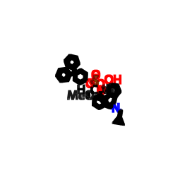 COC12CCC3(CC1C(C)(OS(=O)OC1CCC(c4ccccc4)(c4ccccc4)CC1)C(C)(C)C)C1N(CC4CC4)C14CC31c3c4ccc(O)c3OC21